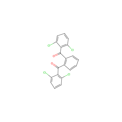 O=C(c1[c]cccc1C(=O)c1c(Cl)cccc1Cl)c1c(Cl)cccc1Cl